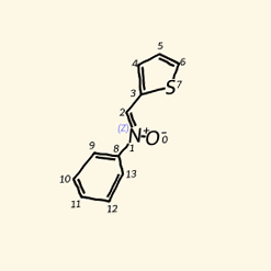 [O-]/[N+](=C\c1cccs1)c1ccccc1